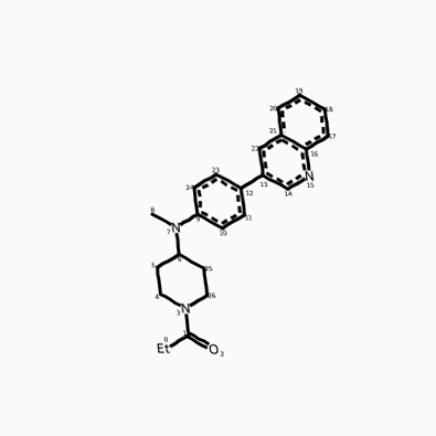 CCC(=O)N1CCC(N(C)c2ccc(-c3cnc4ccccc4c3)cc2)CC1